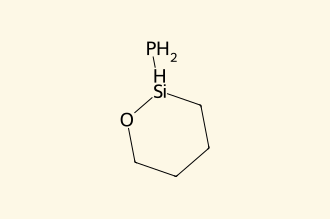 P[SiH]1CCCCO1